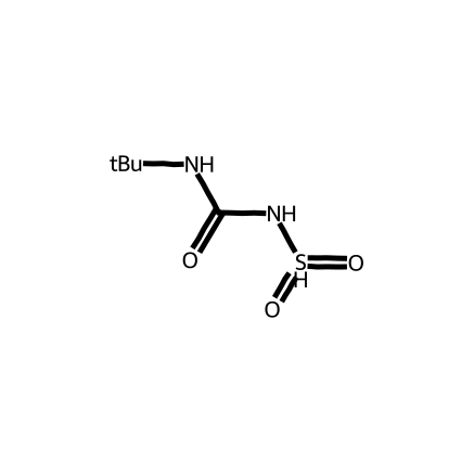 CC(C)(C)NC(=O)N[SH](=O)=O